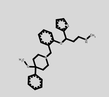 CNCCC(Oc1ccccc1CN1CCC(OC)(c2ccccc2)CC1)c1cccs1